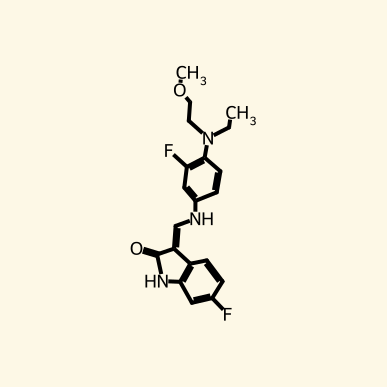 CCN(CCOC)c1ccc(N/C=C2/C(=O)Nc3cc(F)ccc32)cc1F